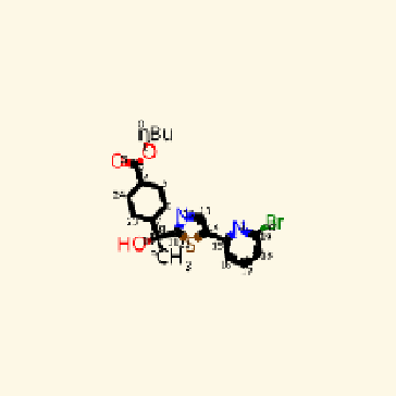 CCCCOC(=O)C1CCC([C@@](C)(O)c2ncc(-c3cccc(Br)n3)s2)CC1